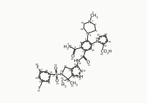 CN1CCN(c2cc(C(N)=O)c(C(=O)Nc3n[nH]c4c3CN(S(=O)(=O)c3cc(F)cc(F)c3)C4(C)C)cc2-n2cccc2C(=O)O)CC1